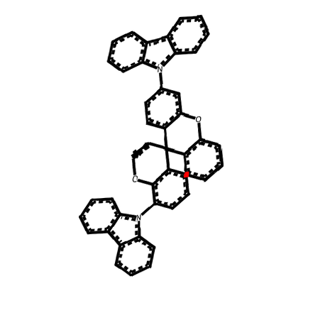 c1ccc2c(c1)Oc1cc(-n3c4ccccc4c4ccccc43)ccc1C21c2ccccc2Oc2c(-n3c4ccccc4c4ccccc43)cccc21